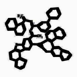 C=C(/N=C(\N=C(/C)c1cc2sc3ccc4ccccc4c3c2cc1C1C2Cc3cc4ccccc4cc3-c3c(ccc4ccccc34)C21)c1cccc(-c2ccccc2)c1)c1cccc2ccccc12